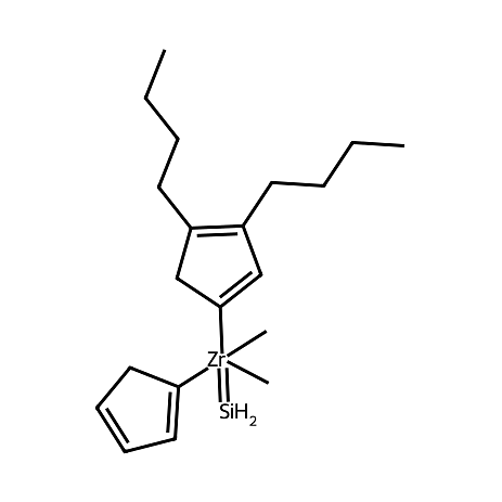 CCCCC1=C(CCCC)C[C]([Zr]([CH3])([CH3])(=[SiH2])[C]2=CC=CC2)=C1